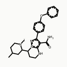 CC1CCN(I)C(C2CCNc3c(C(N)=O)c(-c4ccc(Oc5ccccc5)cc4)nn32)C1